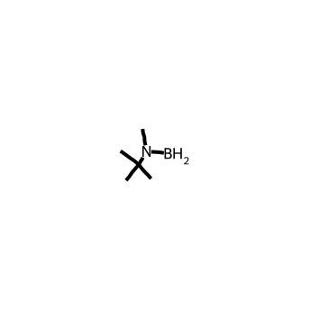 BN(C)C(C)(C)C